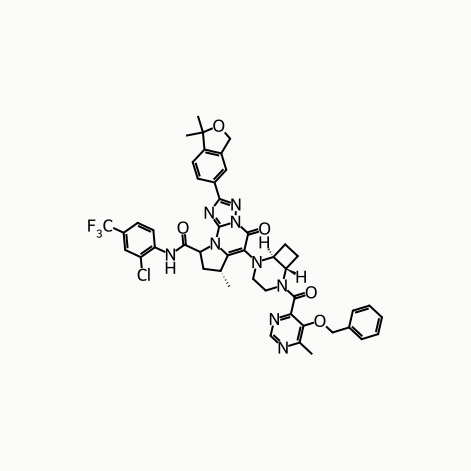 Cc1ncnc(C(=O)N2CCN(c3c4n(c5nc(-c6ccc7c(c6)COC7(C)C)nn5c3=O)C(C(=O)Nc3ccc(C(F)(F)F)cc3Cl)C[C@H]4C)[C@H]3CC[C@@H]32)c1OCc1ccccc1